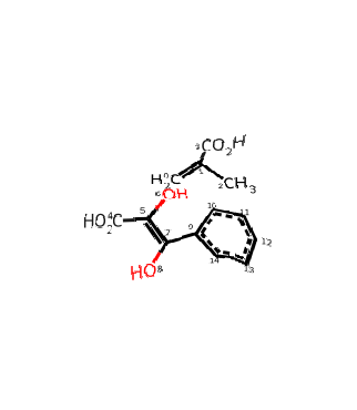 C=C(C)C(=O)O.O=C(O)C(O)=C(O)c1ccccc1